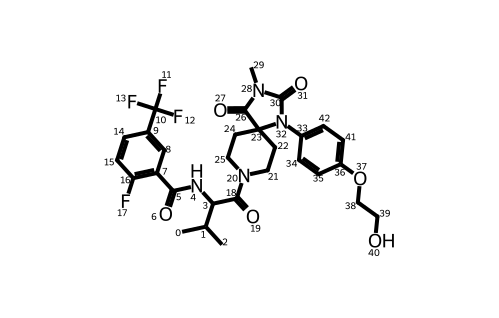 CC(C)C(NC(=O)c1cc(C(F)(F)F)ccc1F)C(=O)N1CCC2(CC1)C(=O)N(C)C(=O)N2c1ccc(OCCO)cc1